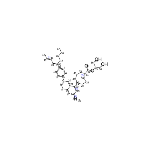 C=C1CC=C(c2ccc([C@@H](C/C=C/C)CCCC)cc2)C=C1/C(=C\C=N/C)N1CC/C=C(\C(=O)OC(CO)CO)CCC1